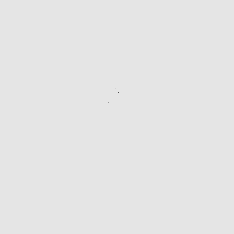 CCCc1c(C)c(C(=O)C2=C(O)CCCC2=O)nn(C)c1=O